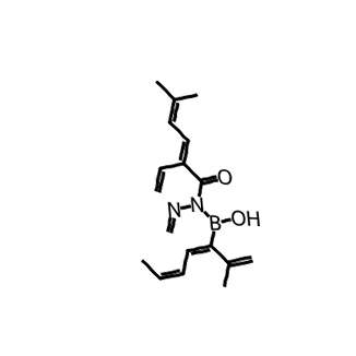 C=C/C(=C\C=C(C)C)C(=O)N(N=C)B(O)/C(=C/C=C\C)C(=C)C